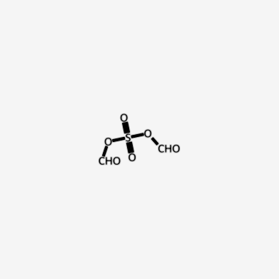 O=COS(=O)(=O)OC=O